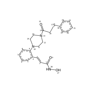 O=C(C=Cc1ccccc1N1CCN(C(=O)CSc2ccccc2)CC1)NO